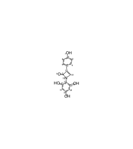 O=C1C(c2ccc(O)cc2)=CN1c1c(O)cc(O)cc1O